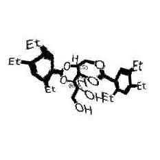 CCc1cc(CC)c(C2OC[C@@H]3OC(c4cc(CC)c(CC)cc4CC)O[C@H]([C@H](O)CO)[C@@H]3O2)cc1CC